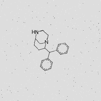 c1ccc(C(c2ccccc2)C2CCC3CN2CCN3)cc1